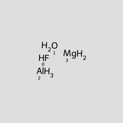 F.O.[AlH3].[MgH2]